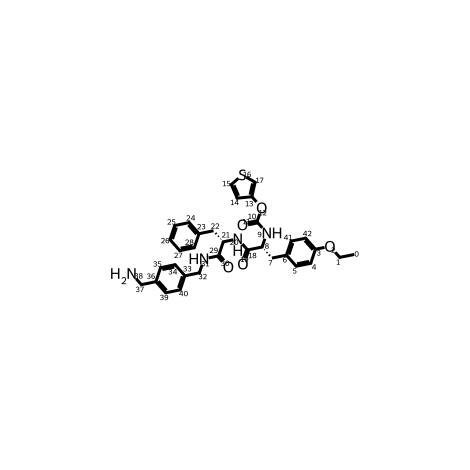 CCOc1ccc(C[C@@H](NC(=O)Oc2ccsc2)C(=O)N[C@@H](Cc2ccccc2)C(=O)NCc2ccc(CN)cc2)cc1